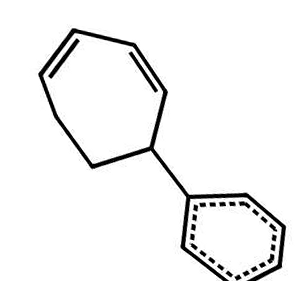 C1=CCCC(c2ccccc2)C=C1